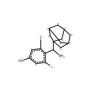 NC(c1c(F)cc(O)cc1F)C12CC3CC(CC(C3)C1)C2